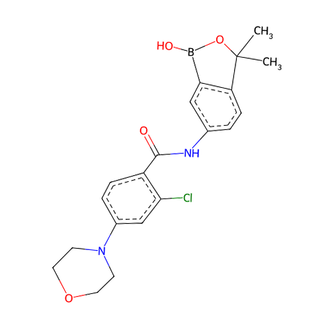 CC1(C)OB(O)c2cc(NC(=O)c3ccc(N4CCOCC4)cc3Cl)ccc21